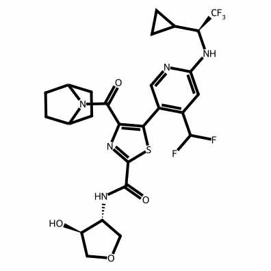 O=C(N[C@@H]1COC[C@H]1O)c1nc(C(=O)N2C3CCC2CC3)c(-c2cnc(N[C@@H](C3CC3)C(F)(F)F)cc2C(F)F)s1